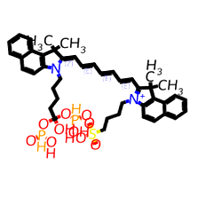 CC1(C)C(/C=C/C=C/C=C/C=C2\N(CCCCC(O)(O[PH](=O)O)O[PH](=O)O)c3ccc4ccccc4c3C2(C)C)=[N+](CCCCS(=O)(=O)O)c2ccc3ccccc3c21